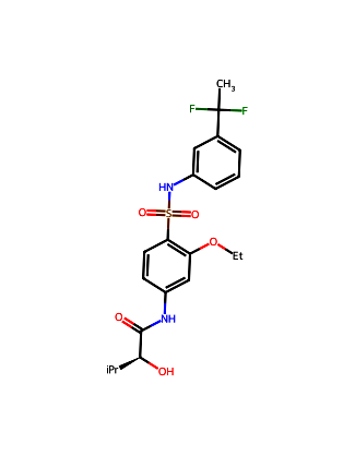 CCOc1cc(NC(=O)[C@@H](O)C(C)C)ccc1S(=O)(=O)Nc1cccc(C(C)(F)F)c1